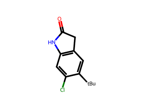 CC(C)(C)c1cc2c(cc1Cl)NC(=O)C2